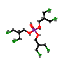 O=P(OCC(CBr)CBr)(OCC(CBr)CBr)OCC(CBr)CBr